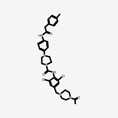 CC(=O)N1CCN(Cc2cc(Cl)c(NC(=O)N3CCN(c4ccc(NC(=O)Cc5ccc(C)cc5)cc4)CC3)c(Cl)c2)CC1